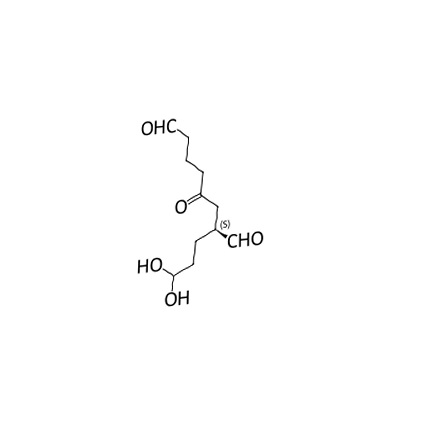 O=CCCCC(=O)C[C@@H](C=O)CCC(O)O